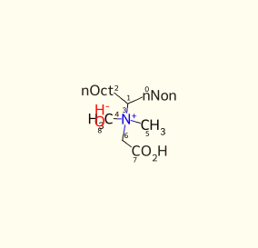 CCCCCCCCCC(CCCCCCCC)[N+](C)(C)CC(=O)O.[OH-]